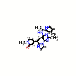 Cc1nc(N[C@H](C)c2cc(C(F)(F)F)ccn2)c2c(n1)N1CCN=C1C(c1ccn(C)c(=O)c1)=C2